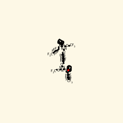 FC(F)(F)COc1nc(OCC(F)(F)C(F)(F)C(F)(F)C(F)(F)COc2nc(OCC(F)(F)F)nc(N(CCC(F)(F)C(F)(F)C(F)(F)C(F)(F)F)C34CC5CC(CC(C5)C3)C4)n2)nc(N(CCC(F)(F)C(F)(F)C(F)(F)C(F)(F)F)C23CC4CC(CC(C4)C2)C3)n1